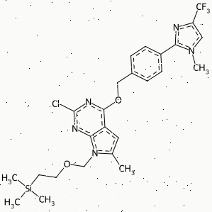 Cc1cc2c(OCc3ccc(-c4nc(C(F)(F)F)cn4C)cc3)nc(Cl)nc2n1COCC[Si](C)(C)C